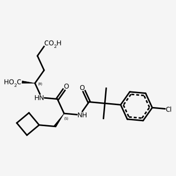 CC(C)(C(=O)N[C@@H](CC1CCC1)C(=O)N[C@H](CCC(=O)O)C(=O)O)c1ccc(Cl)cc1